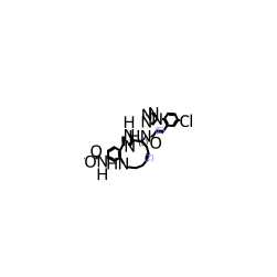 COC(=O)Nc1ccc2c(c1)NCCC/C=C\C[C@H](NC(=O)/C=C/c1cc(Cl)ccc1-n1cnnn1)c1nc-2c[nH]1